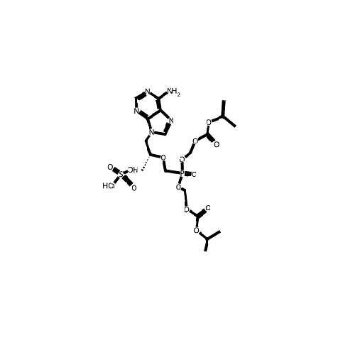 CC(C)OC(=O)OCOP(=O)(CO[C@H](C)Cn1cnc2c(N)ncnc21)OCOC(=O)OC(C)C.O=S(=O)(O)O